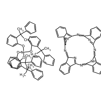 CC(C)(c1ccccc1)c1ccccc1[O][Ni]([O]c1ccccc1C(C)(C)c1ccccc1)([O]c1ccccc1C(C)(C)c1ccccc1)[O]c1ccccc1C(C)(C)c1ccccc1.c1ccc2c(c1)-c1nc-2nc2[nH]c(nc3nc(nc4[nH]c(n1)c1ccccc41)-c1ccccc1-3)c1ccccc21